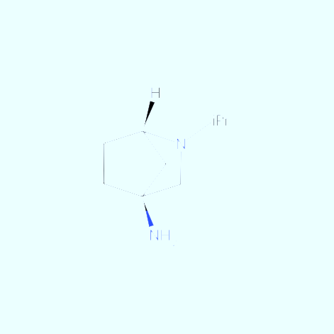 CC(C)N1C[C@]2(N)CC[C@H]1C2